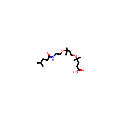 CC(C)CCC(=O)NCCOC(C)(C)CCOC(C)(C)CCC(=O)O